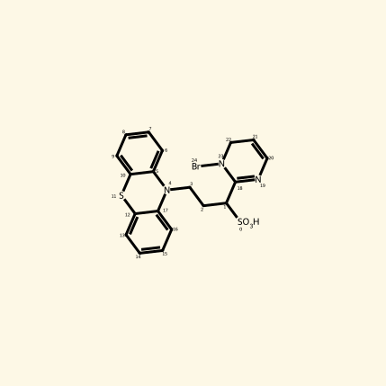 O=S(=O)(O)C(CCN1c2ccccc2Sc2ccccc21)C1=NC=CCN1Br